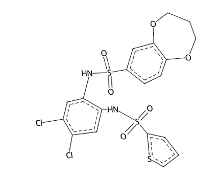 O=S(=O)(Nc1cc(Cl)c(Cl)cc1NS(=O)(=O)c1cccs1)c1ccc2c(c1)OCCCO2